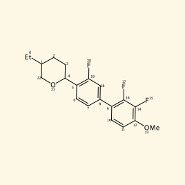 CCC1CCC(c2ccc(-c3ccc(OC)c(F)c3F)cc2F)OC1